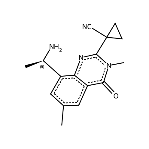 Cc1cc([C@@H](C)N)c2nc(C3(C#N)CC3)n(C)c(=O)c2c1